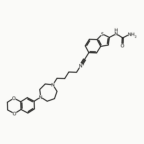 NC(=O)Nc1cc2cc(C#[N+]CCCCN3CCCN(c4ccc5c(c4)OCCO5)CC3)ccc2s1